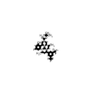 C=CCC(c1cc(C(F)(F)F)cc(C(F)(F)F)c1)N(CC=C)C(=O)N1CCN(C(=O)OC(C)(C)C)CC1c1ccc(F)cc1C